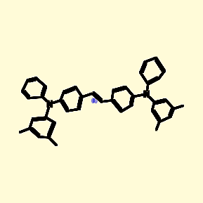 Cc1cc(C)cc(N(c2ccccc2)c2ccc(/C=C/c3ccc(N(c4ccccc4)c4cc(C)cc(C)c4)cc3)cc2)c1